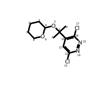 CC(C)(OC1CCCCO1)c1cc(Cl)nnc1Cl